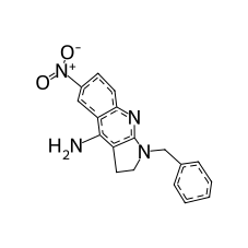 Nc1c2c(nc3ccc([N+](=O)[O-])cc13)N(Cc1ccccc1)CC2